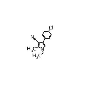 CCn1cc(-c2ccc(Cl)cc2)c(C#N)c1C